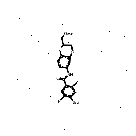 COCC1COc2cc(NC(=O)c3cc(F)c(C(C)(C)C)cc3Cl)ccc2O1